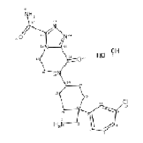 Cl.Cl.NCC1(c2cccc(Cl)c2)CCC(N2CCn3c(C(N)=O)nnc3C2=O)CC1